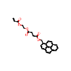 C=CC(=O)OCCOC(=O)CCC(=O)OCc1ccc2ccc3cccc4ccc1c2c34